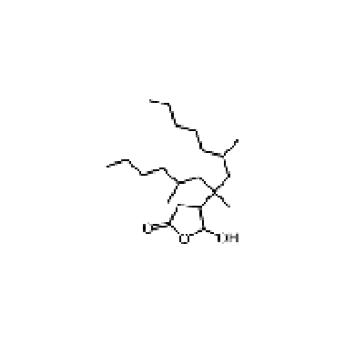 CCCCCC(C)CC(C)(CC(C)CCCC)C1CC(=O)OC1O